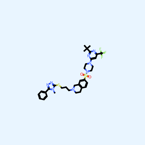 Cn1c(SCCCN2CCc3ccc(S(=O)(=O)N4CCN(c5cc(C(F)(F)F)nc(C(C)(C)C)n5)CC4)cc3C2)nnc1-c1ccccc1